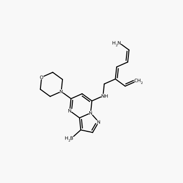 Bc1cnn2c(NC/C(C=C)=C/C=C\N)cc(N3CCOCC3)nc12